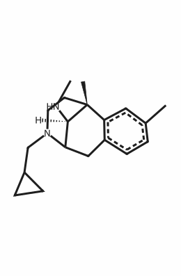 CN[C@@H]1C2Cc3ccc(C)cc3[C@@]1(C)CCN2CC1CC1